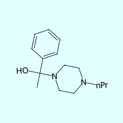 CCCN1CCN(C(C)(O)c2ccccc2)CC1